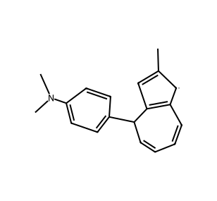 CC1=CC2=C([CH]1)C=CC=CC2c1ccc(N(C)C)cc1